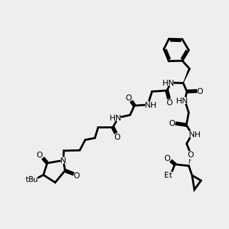 CCC(=O)[C@H](OCNC(=O)CNC(=O)[C@H](Cc1ccccc1)NC(=O)CNC(=O)CNC(=O)CCCCCN1C(=O)CC(C(C)(C)C)C1=O)C1CC1